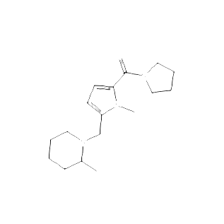 CC1CCCCN1Cc1ccc(C(=O)N2CCCC2)n1C